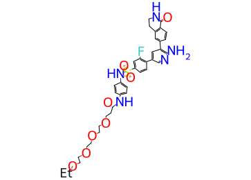 CCOCCOCCOCCOCCC(=O)Nc1ccc(NS(=O)(=O)c2ccc(-c3cnc(N)c(-c4ccc5c(c4)CCNC5=O)c3)c(F)c2)cc1